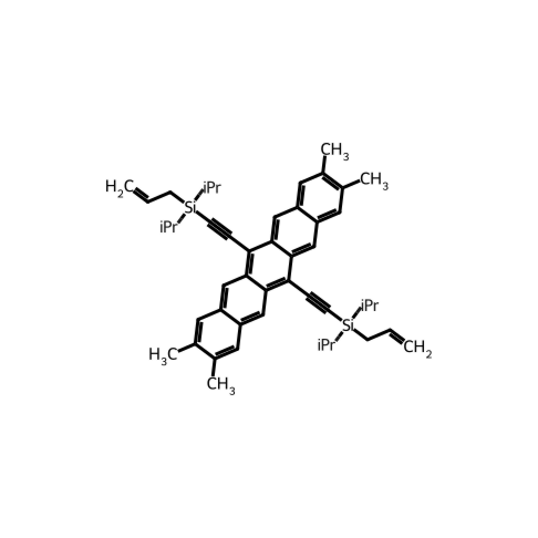 C=CC[Si](C#Cc1c2cc3cc(C)c(C)cc3cc2c(C#C[Si](CC=C)(C(C)C)C(C)C)c2cc3cc(C)c(C)cc3cc12)(C(C)C)C(C)C